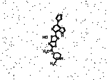 C[C@H]1C[C@H](N(C)c2nc3sc(-c4ncc(-n5ccnc5)c5cc[nH]c45)nc3s2)CCN1.Cl